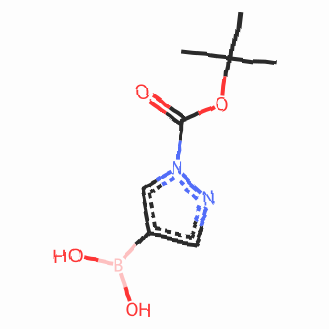 CC(C)(C)OC(=O)n1cc(B(O)O)cn1